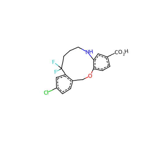 O=C(O)c1ccc2c(c1)NCCCC(F)(F)c1cc(Cl)ccc1CO2